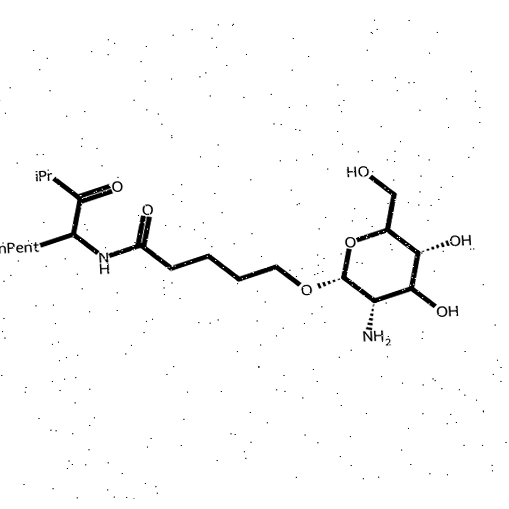 CCCCCC(NC(=O)CCCCO[C@@H]1OC(CO)[C@H](O)C(O)[C@@H]1N)C(=O)C(C)C